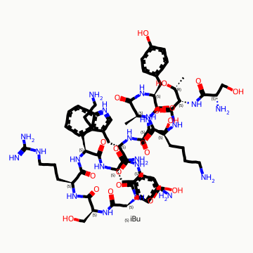 CC[C@H](C)[C@H](NC(=O)[C@H](CC(N)=O)NC(=O)[C@H](Cc1c[nH]c2ccccc12)NC(=O)[C@H](CO)NC(=O)[C@H](Cc1ccc(O)cc1)NC(=O)[C@H](C)NC(=O)[C@H](CCCCN)NC(=O)[C@@H](NC(=O)[C@@H](N)CO)[C@@H](C)O)C(=O)N[C@@H](CO)C(=O)N[C@@H](CCCNC(=N)N)C(=O)N[C@@H](CCCCN)C(=O)N[C@@H](Cc1ccc(O)cc1)C(N)=O